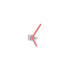 CCCCCCCCCCCCCCCCCCCCCCCCC(O)C(=O)NC(CO)C(O)C(O)CCCCCCCCCCCCCC